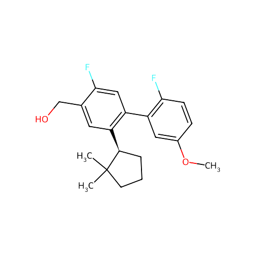 COc1ccc(F)c(-c2cc(F)c(CO)cc2[C@H]2CCCC2(C)C)c1